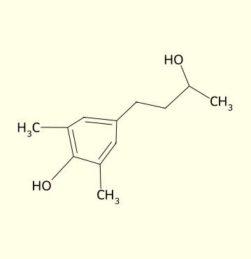 Cc1cc(CCC(C)O)cc(C)c1O